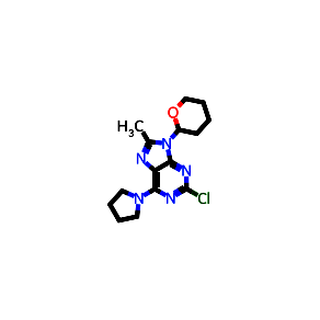 Cc1nc2c(N3CCCC3)nc(Cl)nc2n1C1CCCCO1